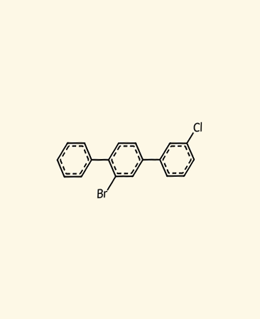 Clc1cccc(-c2ccc(-c3ccccc3)c(Br)c2)c1